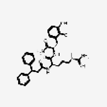 N=C(N)NCCC[C@@H](NC(=O)CC(c1ccccc1)c1ccccc1)C(=O)N[C@@H](Cc1cccc(O)c1O)C(N)=O